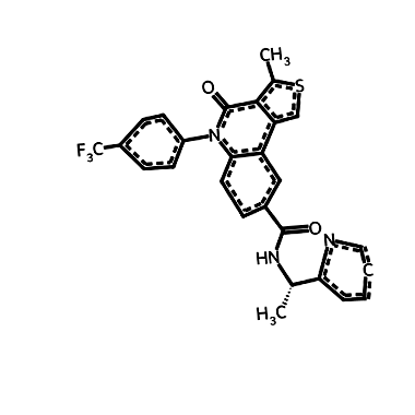 Cc1scc2c1c(=O)n(-c1ccc(C(F)(F)F)cc1)c1ccc(C(=O)N[C@@H](C)c3ccccn3)cc21